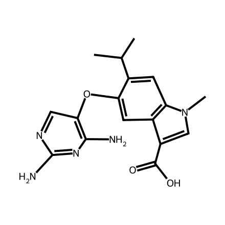 CC(C)c1cc2c(cc1Oc1cnc(N)nc1N)c(C(=O)O)cn2C